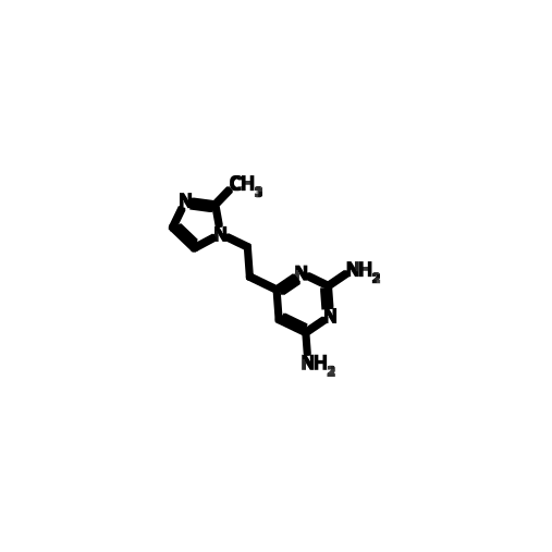 Cc1nccn1CCc1cc(N)nc(N)n1